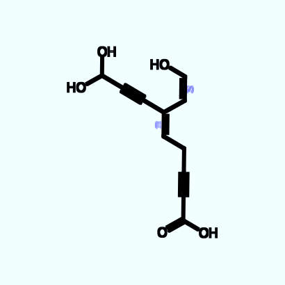 O=C(O)C#CC/C=C(C#CC(O)O)\C=C/O